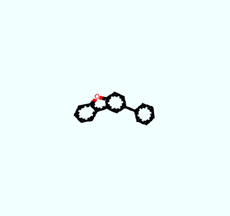 [c]1ccccc1-c1ccc2oc3ccccc3c2c1